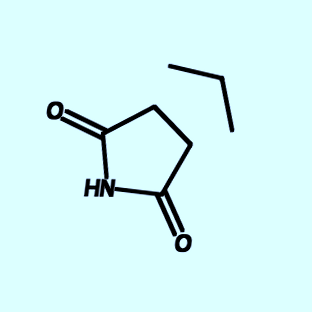 CCC.O=C1CCC(=O)N1